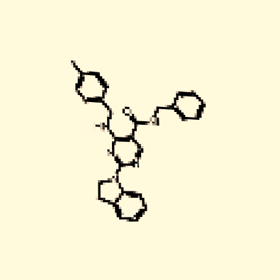 Cc1ccc(CNc2nc(N3CCc4ccccc43)ncc2C(=O)NCc2ccccc2)cc1